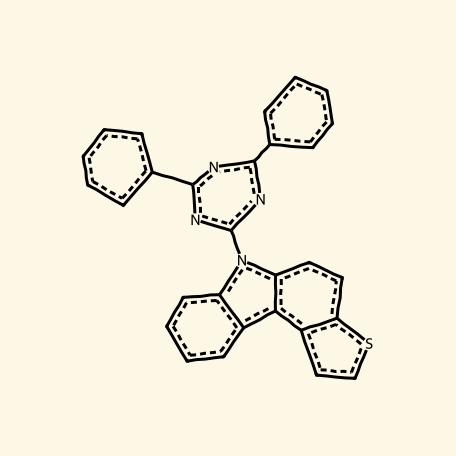 c1ccc(-c2nc(-c3ccccc3)nc(-n3c4ccccc4c4c5ccsc5ccc43)n2)cc1